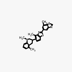 Cc1cccc2c1CC(c1ccc3sc(-c4cc(C)c5scnc5c4)nc3c1C)CN2C